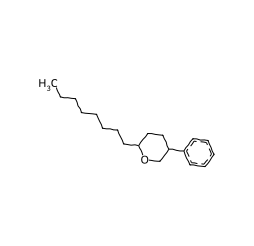 CCCCCCCCC1CCC(c2ccccc2)CO1